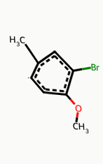 COc1c[c]c(C)cc1Br